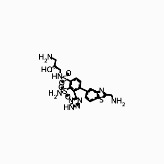 NCc1nc2cc(-c3ccc(S(=O)(=O)NC[C@@H](O)CN)c(S(N)(=O)=O)c3-c3nn[nH]n3)ccc2s1